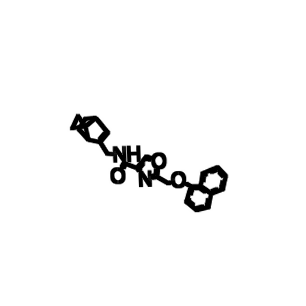 O=C(NCC1=CC2CCC1C21CC1)c1coc(COc2cccc3ccccc23)n1